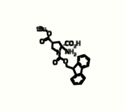 CC(C)(C)OC(=O)[C@@H]1CN(C(=O)OCC2c3ccccc3-c3ccccc32)[C@@](N)(C(=O)O)C1